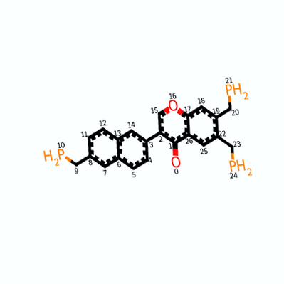 O=c1c(-c2ccc3cc(CP)ccc3c2)coc2cc(CP)c(CP)cc12